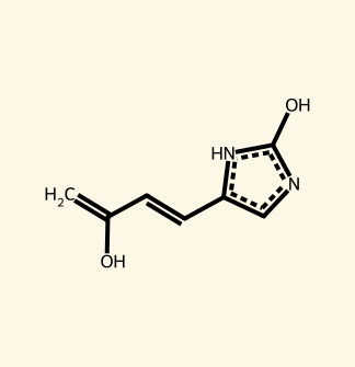 C=C(O)/C=C/c1cnc(O)[nH]1